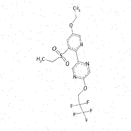 CCOc1cnc(-c2cnc(OCC(F)(F)C(F)(F)F)cn2)c(S(=O)(=O)CC)c1